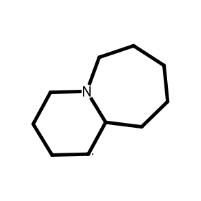 [CH]1CCCN2CCCCCC12